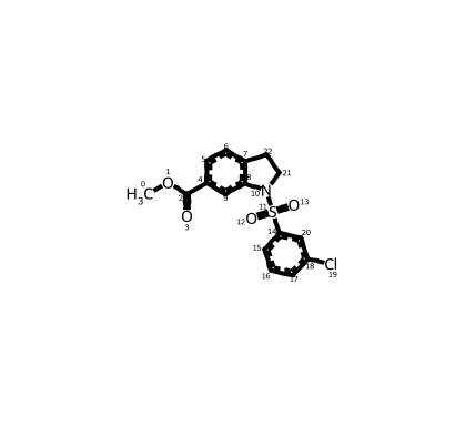 COC(=O)c1ccc2c(c1)N(S(=O)(=O)c1cccc(Cl)c1)CC2